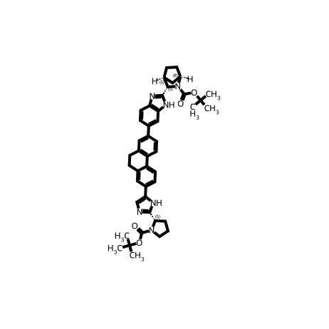 CC(C)(C)OC(=O)N1CCC[C@H]1c1ncc(-c2ccc3c(c2)CCc2cc(-c4ccc5nc([C@@H]6[C@H]7CC[C@H](C7)N6C(=O)OC(C)(C)C)[nH]c5c4)ccc2-3)[nH]1